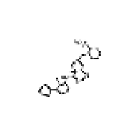 Cc1c(NC2=NC=NC3C=C(CN4CCCCC4C(=O)O)C=NC23C)cccc1-c1ccccc1